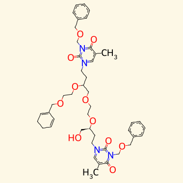 Cc1cn(CCC(COCCO[C@H](CO)CCn2cc(C)c(=O)n(COCc3ccccc3)c2=O)OCCOCC2=CCCC=C2)c(=O)n(COCc2ccccc2)c1=O